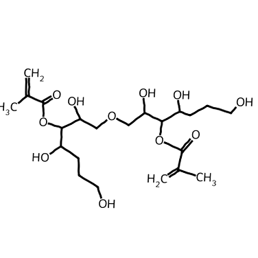 C=C(C)C(=O)OC(C(O)CCCO)C(O)COCC(O)C(OC(=O)C(=C)C)C(O)CCCO